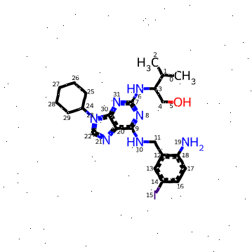 CC(C)C(CO)Nc1nc(NCc2cc(I)ccc2N)c2ncn(C3CCCCC3)c2n1